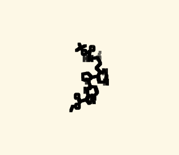 CCOC(=O)c1cnn2ccc(N3CCCC3c3cncnc3CC[C@@H](C)NC(=O)OC(C)(C)C)nc12